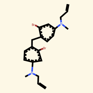 C=CCN(C)c1ccc(Cc2ccc(N(C)CC=C)cc2Br)c(Br)c1